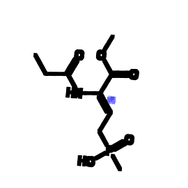 CCC(=O)N/C(=C\CP(C)(=O)O)C(=O)OC